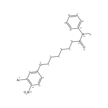 CC(=O)c1cc(OCCCCCCC(=O)N(C)c2ccccc2)ccc1[N+](=O)[O-]